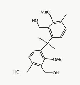 COc1c(C)ccc(C(C)(C)c2ccc(CO)c(CO)c2OC)c1CO